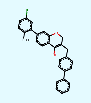 O=C(O)c1ccc(F)cc1-c1ccc2c(c1)OCC(Cc1ccc(-c3ccccc3)cc1)=C2O